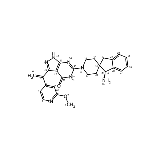 C=C(c1ccnc(OC)c1)c1n[nH]c2nc(N3CCC4(CC3)Cc3ccccc3[C@H]4N)[nH]c(=O)c12